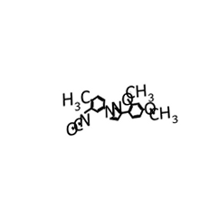 COc1ccc(-c2ccn(-c3ccc(C)c(CN=C=O)c3)n2)c(OC)c1